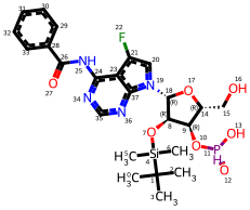 CC(C)(C)[Si](C)(C)O[C@@H]1[C@H](O[PH](=O)O)[C@@H](CO)O[C@H]1n1cc(F)c2c(NC(=O)c3ccccc3)ncnc21